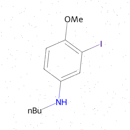 CCCCNc1ccc(OC)c(I)c1